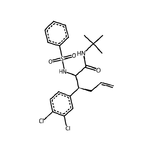 C=CC[C@@H](c1ccc(Cl)c(Cl)c1)C(NS(=O)(=O)c1ccccc1)C(=O)NC(C)(C)C